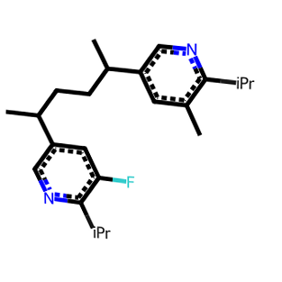 Cc1cc(C(C)CCC(C)c2cnc(C(C)C)c(F)c2)cnc1C(C)C